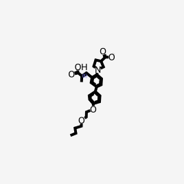 CCCCOCCOc1ccc(-c2ccc(N3CCC(C(=O)OC)C3)c(/C=C(\C)C(=O)O)c2)cc1